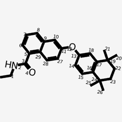 CCNC(=O)c1cccc2cc(Oc3ccc4c(c3)C(C)(C)CCC4(C)C)ccc12